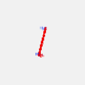 Nc1cccc(C(=O)NCCOCCOCCOCCOCCOCCOCCOCCOCCOCCOCCOCCOCCOCCOCCOCCOCCOCCOCCOCCOCCOCCOCCOCCOCCOCCOCCOCCOCCOCCOCCOCCOCCOCCOCCOCCOCCC(=O)N[C@@H](CCC(=O)O)C(=O)NCC(=O)N[C@H](C=O)CCC(=O)O)c1